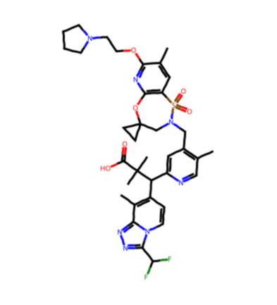 Cc1cnc(C(c2ccn3c(C(F)F)nnc3c2C)C(C)(C)C(=O)O)cc1CN1CC2(CC2)Oc2nc(OCCN3CCCC3)c(C)cc2S1(=O)=O